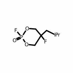 CC(C)CC1(F)COP(=O)(F)OC1